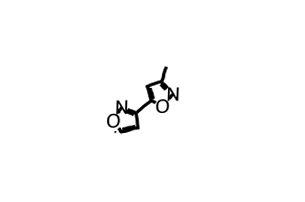 Cc1cc(-c2c[c]on2)on1